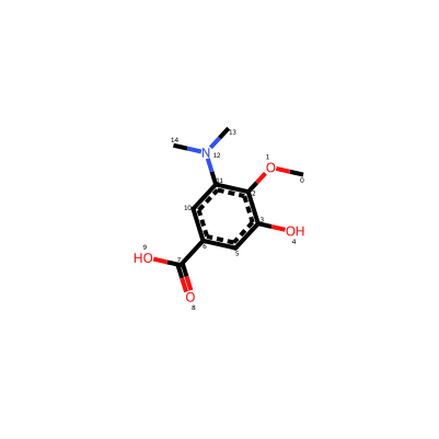 COc1c(O)cc(C(=O)O)cc1N(C)C